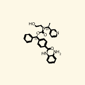 C[C@@H](c1cccnc1)N(CCO)C(=O)O[C@@H](c1ccccc1)c1ccc(C(=O)Nc2ccccc2N)cc1